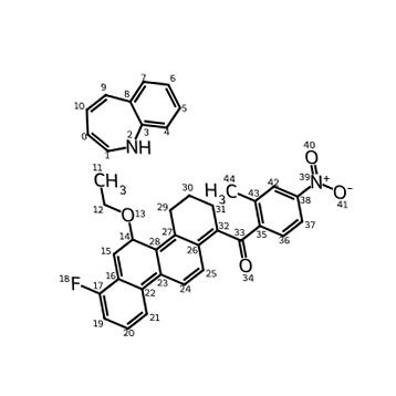 C1=CNc2ccccc2C=C1.CCOC1C=c2c(F)cccc2=c2ccc3c(c21)CCCC=3C(=O)c1ccc([N+](=O)[O-])cc1C